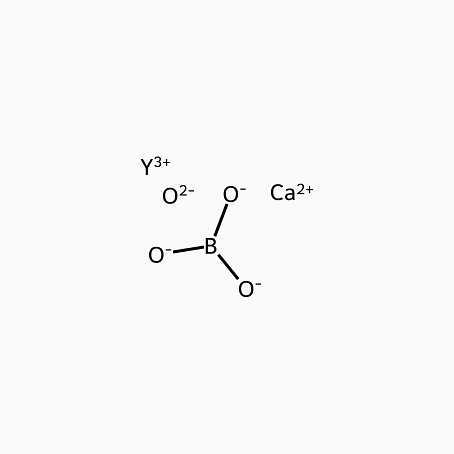 [Ca+2].[O-2].[O-]B([O-])[O-].[Y+3]